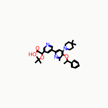 Cc1nc(-c2cncc(C(OC(C)(C)C)C(=O)O)c2)cc(N2CCC(C)(C)CC2)c1OC(C)c1ccccc1